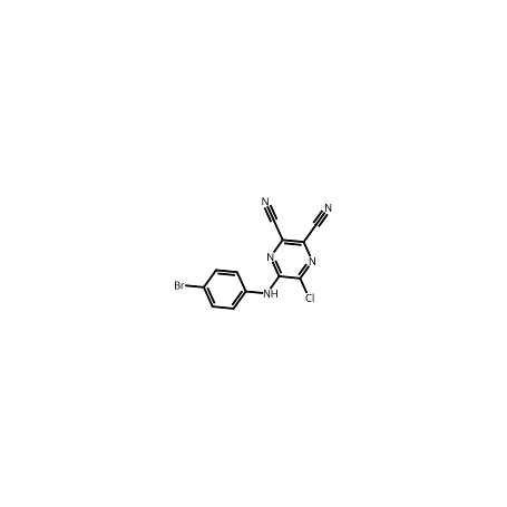 N#Cc1nc(Cl)c(Nc2ccc(Br)cc2)nc1C#N